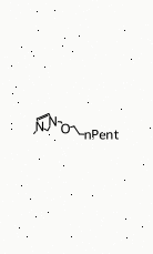 CCCCCCCOCN1C=CN(C)C1